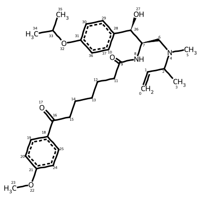 C=CC(C)N(C)C[C@@H](NC(=O)CCCCCC(=O)c1ccc(OC)cc1)[C@H](O)c1ccc(OC(C)C)cc1